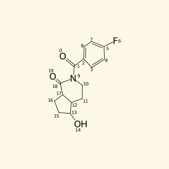 O=C(c1ccc(F)cc1)N1CCC2C(O)CCC2C1=O